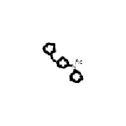 CC(=O)N(c1ccccc1)c1ccc(Cc2ccccc2)cc1